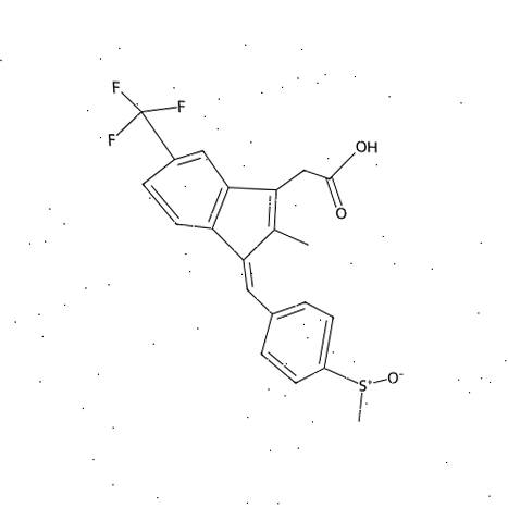 CC1=C(CC(=O)O)c2cc(C(F)(F)F)ccc2C1=Cc1ccc([S+](C)[O-])cc1